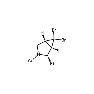 CC[C@@H]1[C@@H]2[C@H](CN1C(C)=O)C2(Br)Br